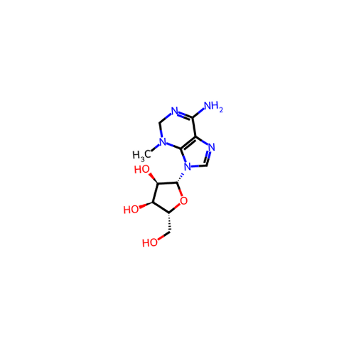 CN1CN=C(N)c2ncn([C@@H]3O[C@H](CO)[C@@H](O)[C@H]3O)c21